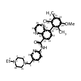 CCN1CCN(Cc2ccc(NC(=O)c3ccc(-c4c(C)c(OC)cc(C)c4Cl)c4nccnc34)nc2)CC1